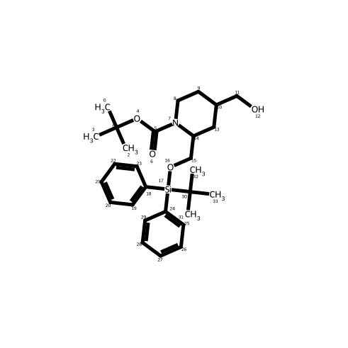 CC(C)(C)OC(=O)N1CCC(CO)CC1CO[Si](c1ccccc1)(c1ccccc1)C(C)(C)C